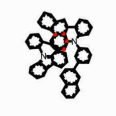 c1cc(-c2ccc3ccccc3c2)cc(N(c2ccc(-c3ccccc3-n3c4ccccc4c4ccccc43)cc2)c2ccccc2-c2cc3ccccc3c3ccccc23)c1